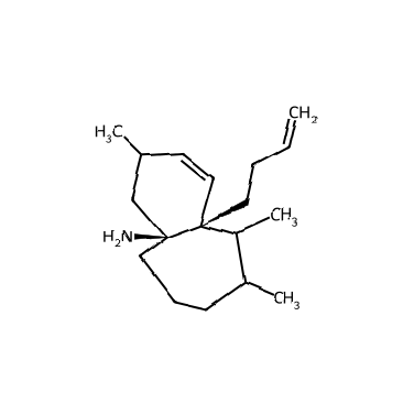 C=CCC[C@]12C=CC(C)C[C@@]1(N)CCCC(C)C2C